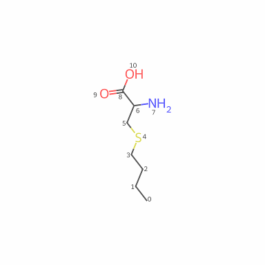 CCCCSCC(N)C(=O)O